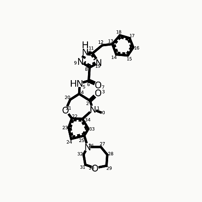 CN1C(=O)C(NC(=O)c2n[nH]c(Cc3ccccc3)n2)COc2ccc(N3CCCOCC3)cc21